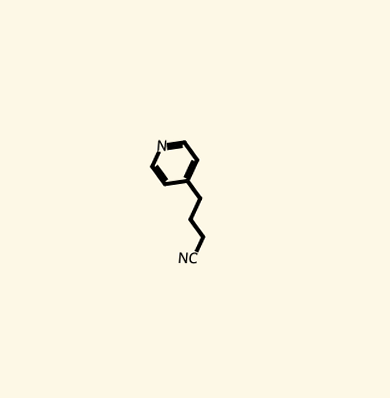 N#CCCCc1ccncc1